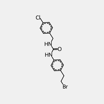 O=C(NCc1ccc(Cl)cc1)Nc1ccc(CCBr)cc1